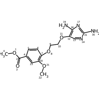 COC(=O)c1ccc(OCCOc2cnc(N)nc2N)c(OC)c1